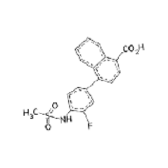 CS(=O)(=O)Nc1ccc(-c2ccc(C(=O)O)c3ccccc23)cc1F